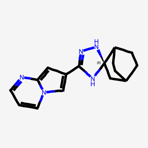 c1cnc2cc(C3=NN[C@@]4(CC5CCC4CC5)N3)cn2c1